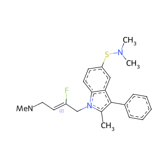 CNC/C=C(\F)Cn1c(C)c(-c2ccccc2)c2cc(SN(C)C)ccc21